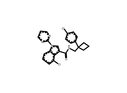 O=C(NCC1(c2ccc(Cl)cc2)CCC1)c1cn(-c2ncccn2)c2cccc(Cl)c12